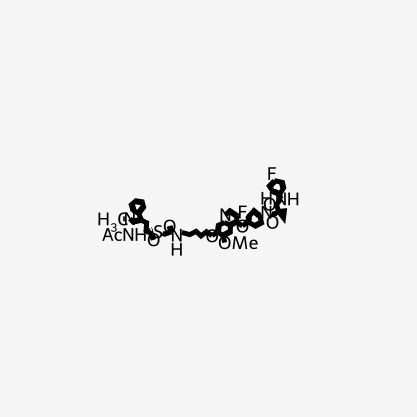 COc1cc2c(Oc3ccc(NC(=O)C4(C(=O)Nc5ccc(F)cc5)CC4)cc3F)ccnc2cc1OCCCCCNC(=O)CSC(=O)[C@@H](Cc1cn(C)c2ccccc12)NC(C)=O